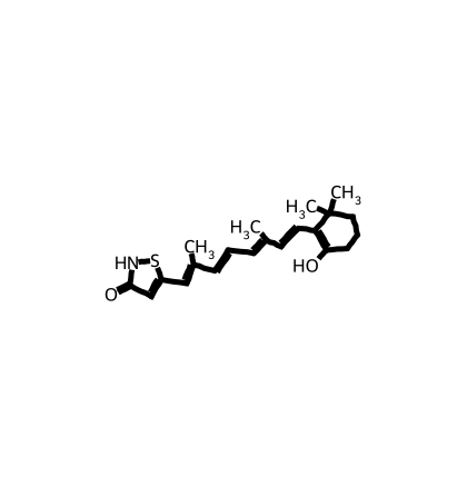 CC(/C=C/C1=C(O)CCCC1(C)C)=C\C=C\C(C)=C\c1cc(=O)[nH]s1